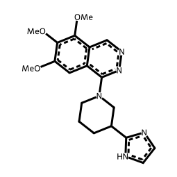 COc1cc2c(N3CCCC(c4ncc[nH]4)C3)nncc2c(OC)c1OC